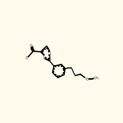 COCCCc1cccc(-c2nc(C(=O)Cl)cs2)c1